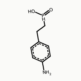 Nc1ccc(CC[PH](=O)O)cc1